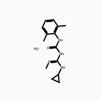 CN=C(NC(=O)Nc1c(C)cccc1C)NC1CC1.Cl